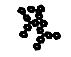 c1ccc(-c2ccc(N(c3ccc(-c4ccccc4)cc3)c3ccc(-c4c(-c5cccc(N(c6ccc(-c7ccccc7)cc6)c6ccc(-c7ccccc7)cc6)c5)cccc4-c4ccc5c(c4)c4ccccc4n5-c4ccccc4)cc3)cc2)cc1